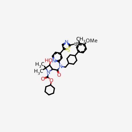 COc1ccc(C2CCC(CN(C(=O)C3C(O)C(C)(C)N3C(=O)OC3CCCCC3)c3cc(-c4cnc(C(C)(C)C)s4)ccn3)CC2)cc1C